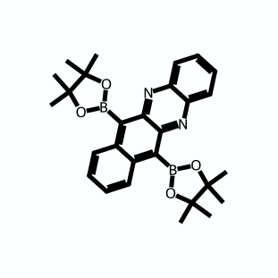 CC1(C)OB(c2c3ccccc3c(B3OC(C)(C)C(C)(C)O3)c3nc4ccccc4nc23)OC1(C)C